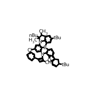 CCCCC1(C)C(C)c2cc(C(C)(C)C)cc3c2N1c1cc(Cl)cc2c1B3c1ccc3c4c(oc3c1N2C1=C(c2ccccc2)C=C1C)C=CC(C(C)(C)C)C4